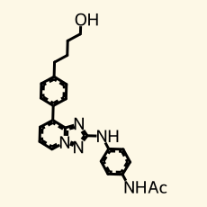 CC(=O)Nc1ccc(Nc2nc3c(-c4ccc(CCCCO)cc4)cccn3n2)cc1